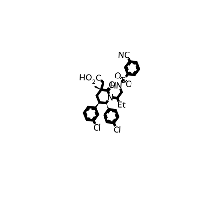 CCC(CNS(=O)(=O)c1cccc(C#N)c1)N1C(=O)[C@@](C)(CC(=O)O)C[C@H](c2cccc(Cl)c2)[C@H]1c1ccc(Cl)cc1